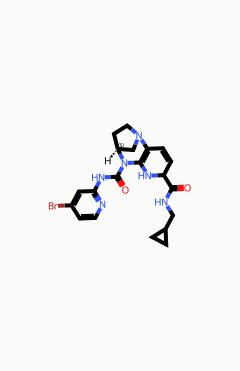 O=C(NCC1CC1)C1C=CC2=C(N1)N(C(=O)Nc1cc(Br)ccn1)[C@H]1CCN2C1